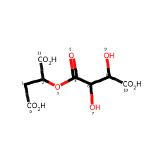 O=C(O)CC(OC(=O)C(O)C(O)C(=O)O)C(=O)O